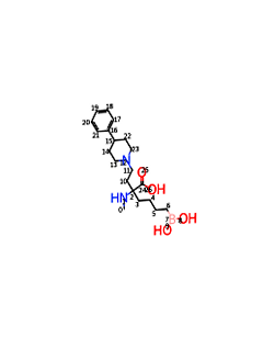 CNC(CCCCB(O)O)(CCN1CCC(c2ccccc2)CC1)C(=O)O